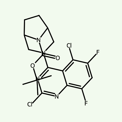 CC(C)(C)OC(=O)N1C2CCC1CN(c1nc(Cl)nc3c(F)cc(F)c(Cl)c13)C2